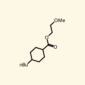 CCCCC1CCC(C(=O)OCCOC)CC1